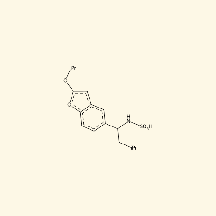 CC(C)CC(NS(=O)(=O)O)c1ccc2oc(OC(C)C)cc2c1